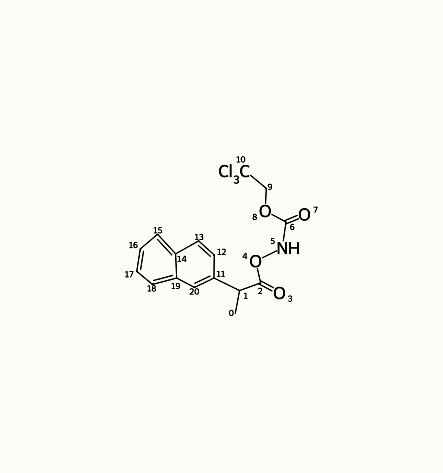 CC(C(=O)ONC(=O)OCC(Cl)(Cl)Cl)c1ccc2ccccc2c1